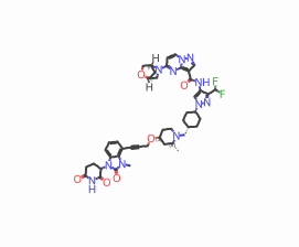 C[C@@H]1C[C@@H](OCC#Cc2cccc3c2n(C)c(=O)n3C2CCC(=O)NC2=O)CCN1C[C@H]1CC[C@H](n2cc(NC(=O)c3cnn4ccc(N5C[C@H]6C[C@@H]5CO6)nc34)c(C(F)F)n2)CC1